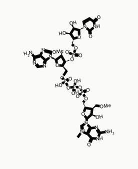 COC[C@@H]1[C@@H](COP(=O)(O)OP(=O)(O)OP(=O)(O)OC[C@H]2O[C@@H](n3cnc4c(N)ncnc43)[C@H](OC)[C@@H]2OP(=O)([O-])OC[C@H]2O[C@@H](n3ccc(=O)[nH]c3=O)[C@H](O)[C@@H]2O)OC(n2c[n+](C)c3c(=O)[nH]c(N)nc32)[C@@H]1O